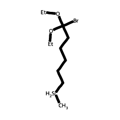 CCOC(Br)(CCCCC[SiH2]C)OCC